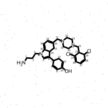 NCCCN1C=C(C2C=CC(O)=CC2)C2CC(CN3CCN(CC4C(Cl)=CC=CC4Cl)CC3)=CC=C21